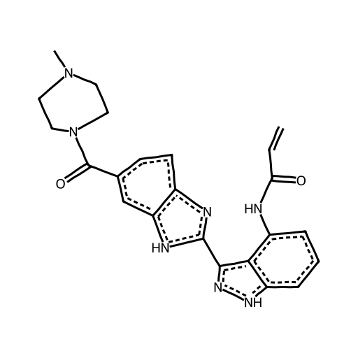 C=CC(=O)Nc1cccc2[nH]nc(-c3nc4ccc(C(=O)N5CCN(C)CC5)cc4[nH]3)c12